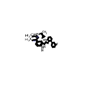 C=C/C(=C\C(=C/C)c1ccc2[nH]nc(-c3cc4c(-c5cccc(F)c5)cccc4[nH]3)c2c1)NC(=C)C1CC1